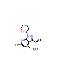 C=Cc1nn(C2CCCCO2)c2nc(Cl)cc(C(=O)OCC)c12